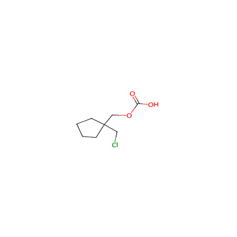 O=C(O)OCC1(CCl)CCCC1